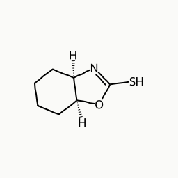 SC1=N[C@@H]2CCCC[C@@H]2O1